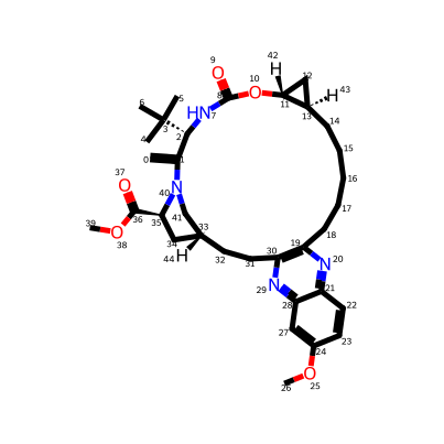 C=C1[C@H](C(C)(C)C)NC(=O)O[C@@H]2C[C@H]2CCCCCc2nc3ccc(OC)cc3nc2CC[C@@H]2C[C@@H](C(=O)OC)N1C2